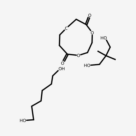 CC(C)(CO)CO.O=C1CCCCC(=O)OCCO1.OCCCCCCO